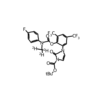 [2H]C([2H])([2H])N(C(=O)Oc1c(-n2ccn(C(=O)OC(C)(C)C)c2=O)cc(C(F)(F)F)cc1C(F)(F)F)c1ccc(F)cc1